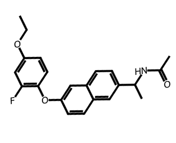 CCOc1ccc(Oc2ccc3cc(C(C)NC(C)=O)ccc3c2)c(F)c1